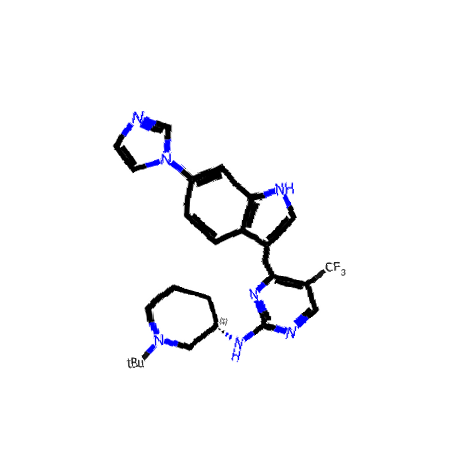 CC(C)(C)N1CCC[C@H](Nc2ncc(C(F)(F)F)c(-c3c[nH]c4cc(-n5ccnc5)ccc34)n2)C1